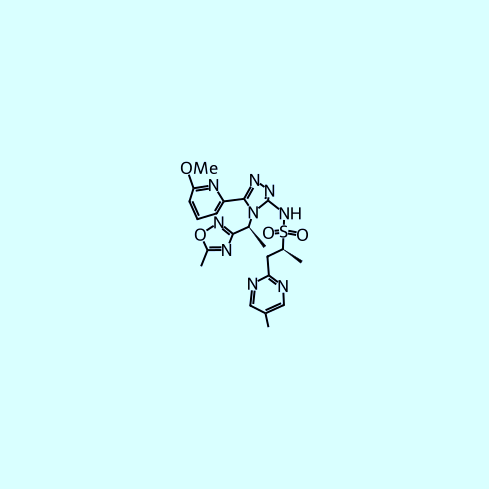 COc1cccc(-c2nnc(NS(=O)(=O)[C@@H](C)Cc3ncc(C)cn3)n2[C@@H](C)c2noc(C)n2)n1